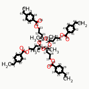 C=Cc1ccc(C(=O)OCCC[Si]2(C)O[Si](C)(CCCOC(=O)c3ccc(C=C)cc3)O[Si](C)(CCCOC(=O)c3ccc(C=C)cc3)O[Si](C)(CCCOC(=O)c3ccc(C=C)cc3)O2)cc1